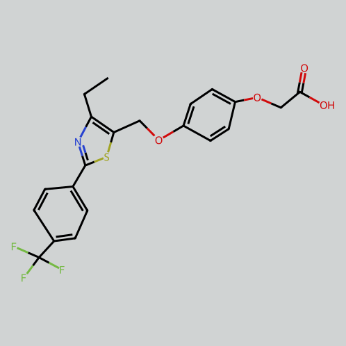 CCc1nc(-c2ccc(C(F)(F)F)cc2)sc1COc1ccc(OCC(=O)O)cc1